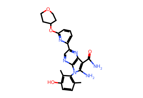 Cc1ccc(O)c(C)c1-n1c(N)c(C(N)=O)c2nc(-c3cccc(OC4CCOCC4)n3)cnc21